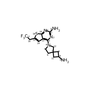 Nc1nc(N2CCC3(CC(N)C3)C2)c2cc(CC(F)(F)F)sc2n1